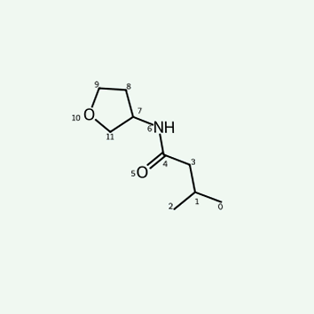 CC(C)CC(=O)NC1CCOC1